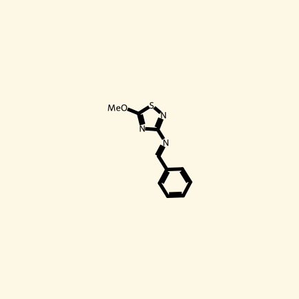 COc1nc(/N=C/c2ccccc2)ns1